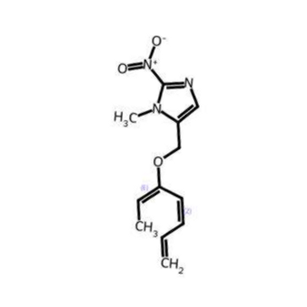 C=C/C=C\C(=C/C)OCc1cnc([N+](=O)[O-])n1C